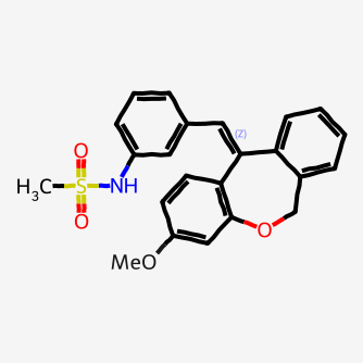 COc1ccc2c(c1)OCc1ccccc1/C2=C/c1cccc(NS(C)(=O)=O)c1